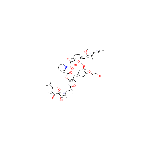 C/C=C/C=C(\C)[C@H](C[C@@H]1CC[C@@H](C)[C@](O)(C(=O)C(=O)N2CCCC[C@H]2C(=O)O[C@@H](CC(=O)[C@H](C)/C=C(\C)[C@@H](O)[C@@H](OC)C(=O)[C@H](C)CC(C)C)[C@H](C)C[C@@H]2CC[C@@H](OCCO)[C@H](OC)C2)O1)OC